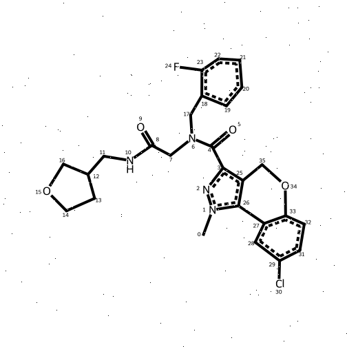 Cn1nc(C(=O)N(CC(=O)NCC2CCOC2)Cc2ccccc2F)c2c1-c1cc(Cl)ccc1OC2